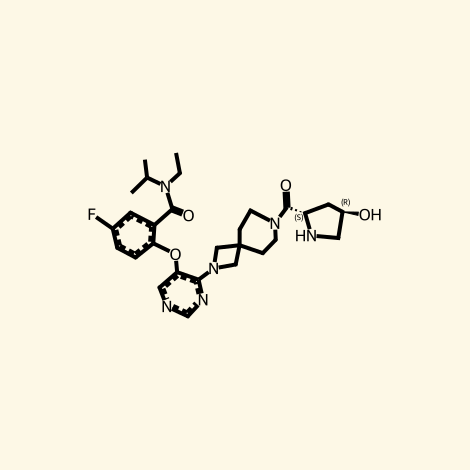 CCN(C(=O)c1cc(F)ccc1Oc1cncnc1N1CC2(CCN(C(=O)[C@@H]3C[C@@H](O)CN3)CC2)C1)C(C)C